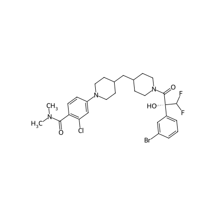 CN(C)C(=O)c1ccc(N2CCC(CC3CCN(C(=O)[C@](O)(c4cccc(Br)c4)C(F)F)CC3)CC2)cc1Cl